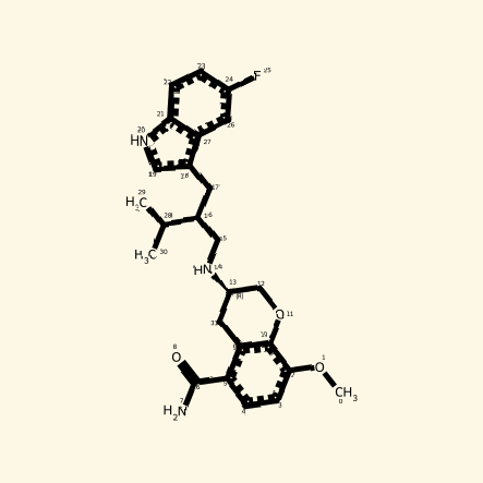 COc1ccc(C(N)=O)c2c1OC[C@H](NCC(Cc1c[nH]c3ccc(F)cc13)C(C)C)C2